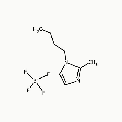 CCCCn1ccnc1C.F[B-](F)(F)F